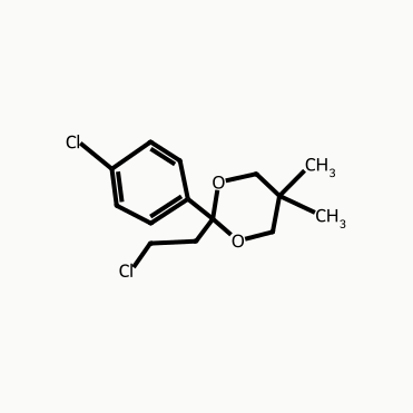 CC1(C)COC(CCCl)(c2ccc(Cl)cc2)OC1